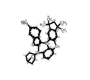 CC(C)(C)c1ccc2c3c(sc2c1)N(C12CCC(CC1)CC2)c1cccc2c1B3c1cc3c(cc1O2)C(C)(C)CC3(C)C